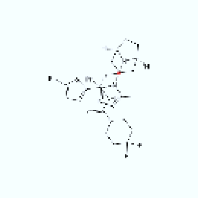 CCc1ccc([C@H](CCN2[C@@H]3CC[C@H]2C[C@H](n2c(C)nnc2C(C)C)C3)NC(=O)C2CCC(F)(F)CC2)s1